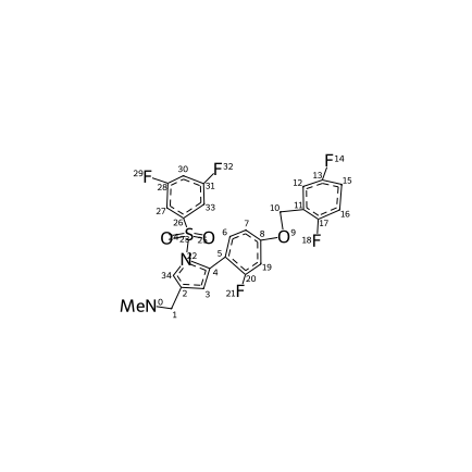 CNCc1cc(-c2ccc(OCc3cc(F)ccc3F)cc2F)n(S(=O)(=O)c2cc(F)cc(F)c2)c1